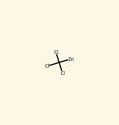 Cl[C](Cl)(Cl)[Zn]